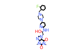 Cn1c(=O)c2c(ncn2CC(O)Nc2ccc(N3CCN(Cc4ccccc4F)CC3)cn2)n(C)c1=O